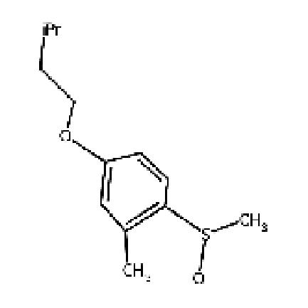 Cc1cc(OCCC(C)C)ccc1[S+](C)[O-]